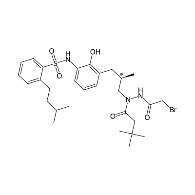 CC(C)CCc1ccccc1S(=O)(=O)Nc1cccc(C[C@@H](C)CN(NC(=O)CBr)C(=O)CC(C)(C)C)c1O